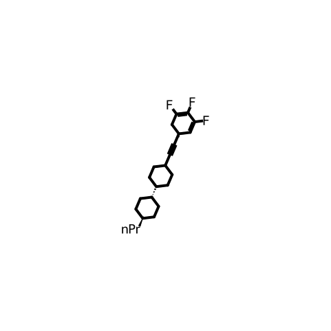 CCC[C@H]1CC[C@H](C2CCC(C#C[C]3C=C(F)C(F)=C(F)C3)CC2)CC1